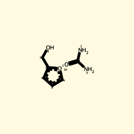 NC(N)=O.OCc1ccco1